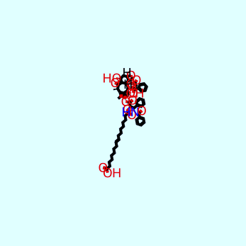 CC(=O)O[C@@]12CO[C@@H]1C[C@H](O)[C@@]1(C)C(=O)[C@H](C)C3=C(C)[C@@H](OC(=O)[C@H](OC(=O)CCCCCCC/C=C/CCCCCCCC(=O)O)[C@@H](NC(=O)c4ccccc4)c4ccccc4)C[C@@](O)([C@@H](OC(=O)c4ccccc4)[C@H]21)C3(C)C